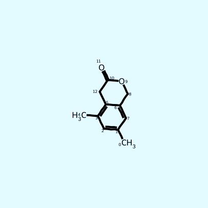 Cc1cc(C)c2c(c1)COC(=O)C2